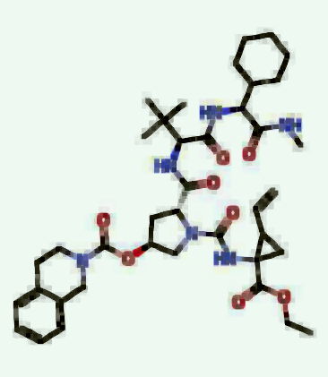 C=CC1CC1(NC(=O)N1C[C@@H](OC(=O)N2CCc3ccccc3C2)C[C@@H]1C(=O)N[C@H](C(=O)N[C@H](C(=O)NC)C1CCCCC1)C(C)(C)C)C(=O)OCC